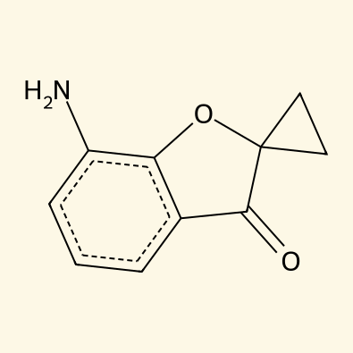 Nc1cccc2c1OC1(CC1)C2=O